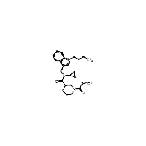 CC(C)(C)OC(=O)N1CCOC(C(=O)N(Cc2cn(CCCC(F)(F)F)c3ccccc23)C2CC2)C1